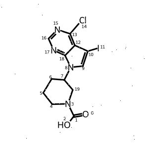 O=C(O)N1CCCC(n2cc(I)c3c(Cl)ncnc32)C1